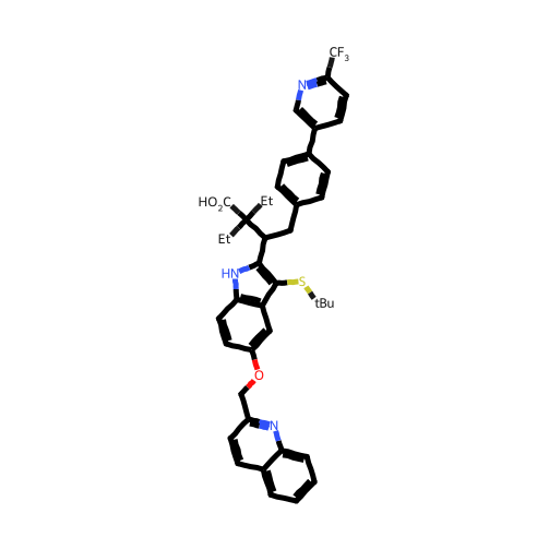 CCC(CC)(C(=O)O)C(Cc1ccc(-c2ccc(C(F)(F)F)nc2)cc1)c1[nH]c2ccc(OCc3ccc4ccccc4n3)cc2c1SC(C)(C)C